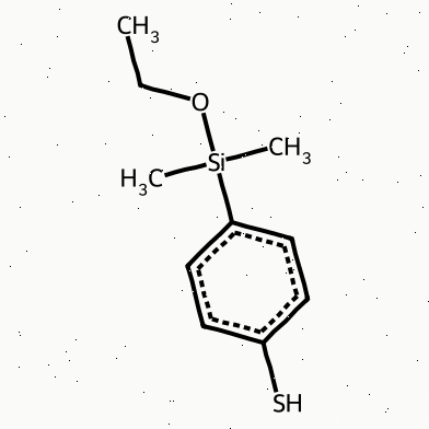 CCO[Si](C)(C)c1ccc(S)cc1